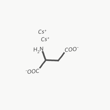 NC(CC(=O)[O-])C(=O)[O-].[Cs+].[Cs+]